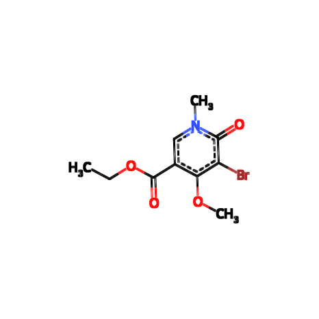 CCOC(=O)c1cn(C)c(=O)c(Br)c1OC